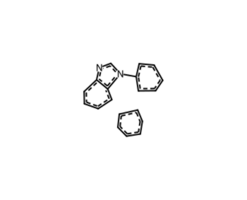 c1ccc(-n2cnc3ccccc32)cc1.c1ccccc1